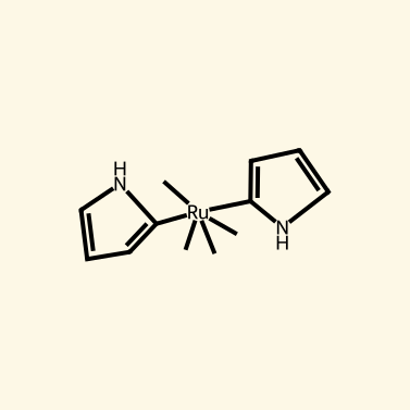 [CH3][Ru]([CH3])([CH3])([CH3])([c]1ccc[nH]1)[c]1ccc[nH]1